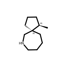 C[C@@H]1CCC[C@@]12CCCCNC2